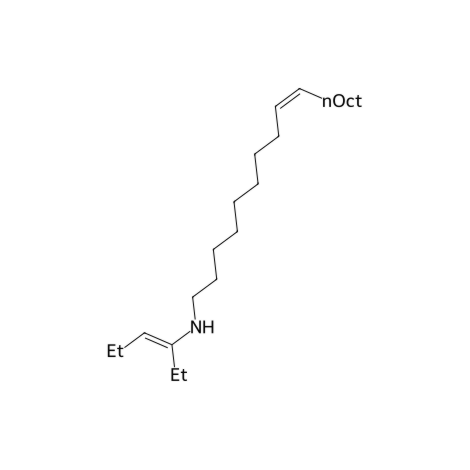 CCC=C(CC)NCCCCCCCC/C=C\CCCCCCCC